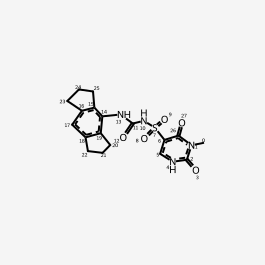 Cn1c(=O)[nH]cc(S(=O)(=O)NC(=O)Nc2c3c(cc4c2CCC4)CCC3)c1=O